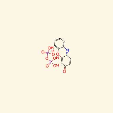 O=P(O)(O)OP(=O)(O)O.O=c1ccc2nc3ccccc3oc-2c1